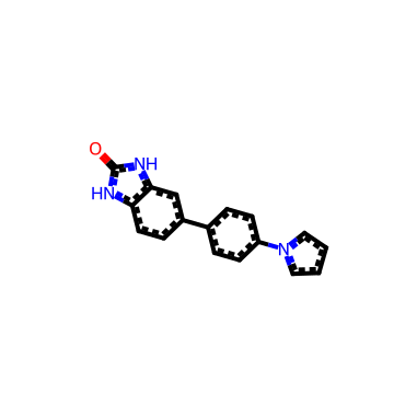 O=c1[nH]c2ccc(-c3ccc(-n4cccc4)cc3)cc2[nH]1